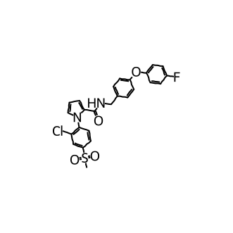 CS(=O)(=O)c1ccc(-n2cccc2C(=O)NCc2ccc(Oc3ccc(F)cc3)cc2)c(Cl)c1